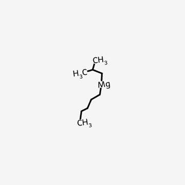 CCCC[CH2][Mg][CH2]C(C)C